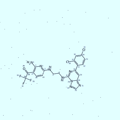 Nc1nc(NCCNc2nc(-c3ccc(Cl)cc3Cl)cc3ncnn23)ccc1C(=O)C(F)(F)F